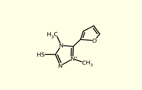 Cn1c(S)n[n+](C)c1-c1ccco1